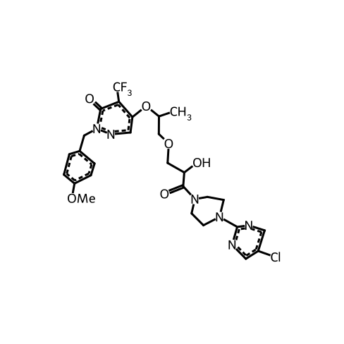 COc1ccc(Cn2ncc(OC(C)COCC(O)C(=O)N3CCN(c4ncc(Cl)cn4)CC3)c(C(F)(F)F)c2=O)cc1